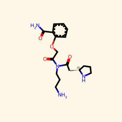 NCCCN(C(=O)COc1ccccc1C(N)=O)C(=O)C[C@@H]1CCCN1